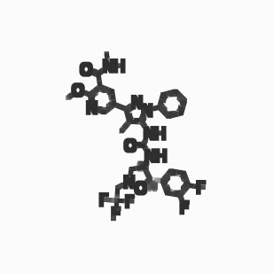 CNC(=O)c1cc(-c2nn(-c3ccccc3)c(NC(=O)N[C@@H]3CN(CC(F)(F)F)O[C@H]3c3ccc(F)c(F)c3)c2C)cnc1OC